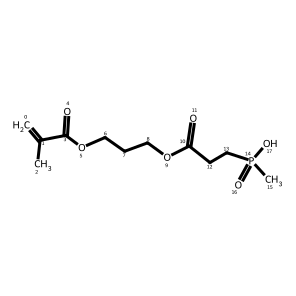 C=C(C)C(=O)OCCCOC(=O)CCP(C)(=O)O